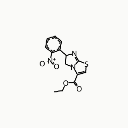 CCOC(=O)C1=CSC2=NC(c3ccccc3[N+](=O)[O-])CN12